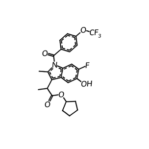 Cc1c(C(C)C(=O)OC2CCCC2)c2cc(O)c(F)cc2n1C(=O)c1ccc(OC(F)(F)F)cc1